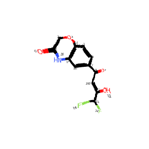 O=C1COc2ccc(C(=O)C=C(O)C(F)F)cc2N1